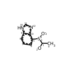 CC([O])[S+]([O-])c1cccc2[nH]cnc12